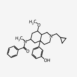 COC1CC(N(C)C(=O)c2ccccc2)CC2(c3cccc(O)c3)CCN(CC3CC3)CC12